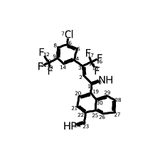 N=C(/C=C(/c1cc(Cl)cc(C(F)(F)F)c1)C(F)(F)F)c1ccc(C=P)c2ccccc12